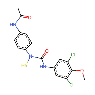 COc1c(Cl)cc(NC(=O)N(S)c2ccc(NC(C)=O)cc2)cc1Cl